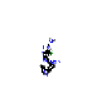 CN(C)CCNc1cc(F)cc(-c2cncc3[nH]c(-c4n[nH]c5ccc(-c6ccccn6)cc45)cc23)c1